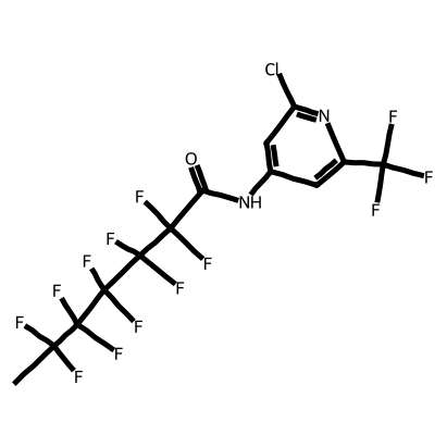 CC(F)(F)C(F)(F)C(F)(F)C(F)(F)C(F)(F)C(=O)Nc1cc(Cl)nc(C(F)(F)F)c1